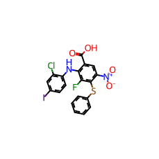 O=C(O)c1cc([N+](=O)[O-])c(Sc2ccccc2)c(F)c1Nc1ccc(I)cc1Cl